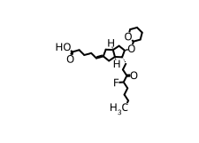 CCCCC(F)C(=O)CC[C@@H]1[C@H]2CC(=CCCCC(=O)O)C[C@H]2C[C@H]1OC1CCCCO1